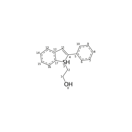 OCC[SH]1C(c2ccccc2)=Cc2ccccc21